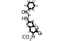 O=C(O)c1cc2sc(NC[S+]([O-])c3ccccc3)cc2oc1=O